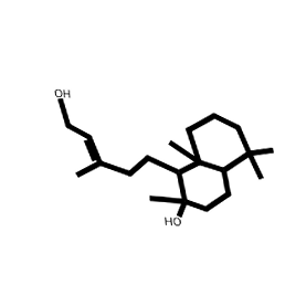 CC(=CCO)CCC1C(C)(O)CCC2C(C)(C)CCCC21C